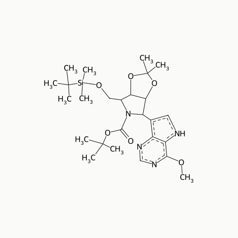 COc1ncnc2c(C3C4OC(C)(C)OC4C(CO[Si](C)(C)C(C)(C)C)N3C(=O)OC(C)(C)C)c[nH]c12